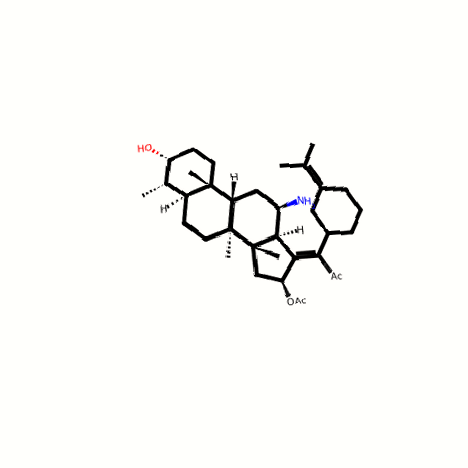 CC(=O)O[C@H]1C[C@@]2(C)[C@H](/C1=C(/C(C)=O)C1CCCC(=C(C)C)C1)[C@H](N)C[C@H]1[C@@]3(C)CC[C@@H](O)[C@@H](C)[C@@H]3CC[C@@]12C